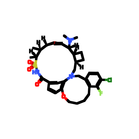 C[C@@H]1[C@@H](C)S(=O)(=O)NC(=O)c2ccc3c(c2)N(Cc2ccc(Cl)c(F)c2CCCCO3)C[C@@H]2CC[C@H]2[C@@H](N(C)C)C2=C[C@H]1C2